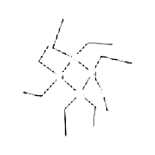 CC[Si]1(CC)[Si](CC)(CC)[Si](CC)(CC)[Si]1(CC)CC